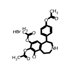 Br.CC(=O)Oc1ccc(C2CNCCc3c2cc(OC(C)=O)c(OC(C)=O)c3Cl)cc1